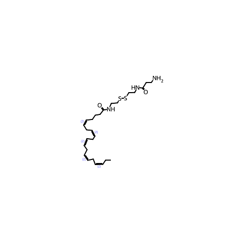 CC/C=C\C/C=C\C/C=C\C/C=C\C/C=C\CCCC(=O)NCCSSCCNC(=O)CCN